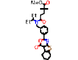 CCC(CC)N(Cc1cccc(-c2nc3sc4c(c3c(=O)o2)CCCC4)c1)C(=O)CCC(C)(C)C(=O)OC